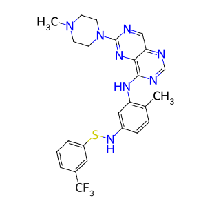 Cc1ccc(NSc2cccc(C(F)(F)F)c2)cc1Nc1ncnc2cnc(N3CCN(C)CC3)nc12